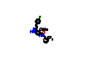 COc1c(C(=O)NCc2ccccc2C(F)(F)F)ccc2[nH]nc(C=Cc3ccc(F)cc3)c12